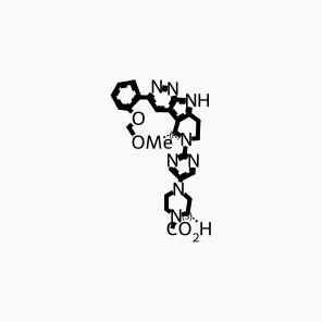 COCOc1ccccc1-c1cc2c3c([nH]c2nn1)CCN(c1ncc(N2CCN(C(=O)O)[C@@H](C)C2)cn1)[C@@H]3C